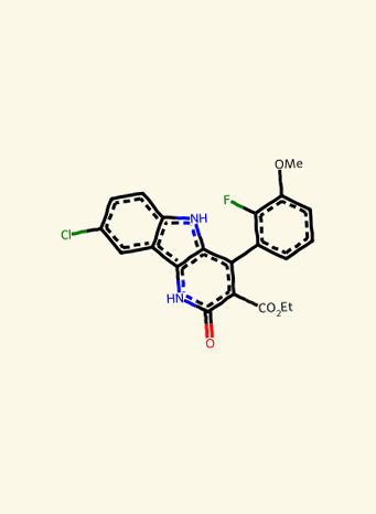 CCOC(=O)c1c(-c2cccc(OC)c2F)c2[nH]c3ccc(Cl)cc3c2[nH]c1=O